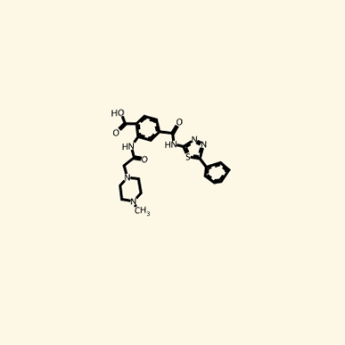 CN1CCN(CC(=O)Nc2cc(C(=O)Nc3nnc(-c4ccccc4)s3)ccc2C(=O)O)CC1